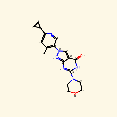 Cc1cc(C2CC2)ncc1-n1cc2c(=O)[nH]c(N3CCOCC3)nc2n1